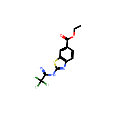 CCOC(=O)c1ccc2nc(NC(=N)C(Cl)(Cl)Cl)sc2c1